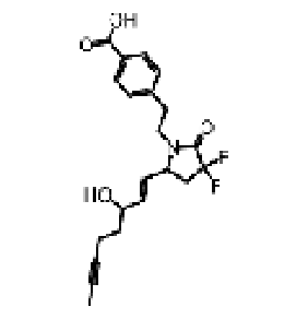 CC#CCCC(O)/C=C/C1CC(F)(F)C(=O)N1CCc1ccc(C(=O)O)cc1